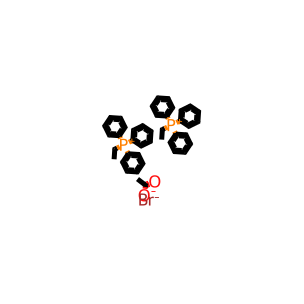 CC(=O)[O-].CC[P+](c1ccccc1)(c1ccccc1)c1ccccc1.CC[P+](c1ccccc1)(c1ccccc1)c1ccccc1.[Br-]